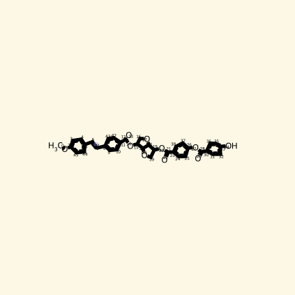 COc1ccc(/C=C/c2ccc(C(=O)OC3COC4C(OC(=O)c5ccc(OC(=O)c6ccc(O)cc6)cc5)COC34)cc2)cc1